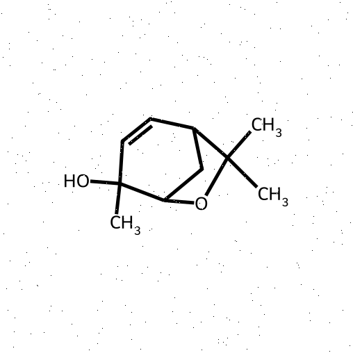 CC1(O)C=CC2CC1OC2(C)C